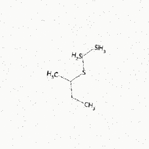 CCC(C)S[SiH2][SiH3]